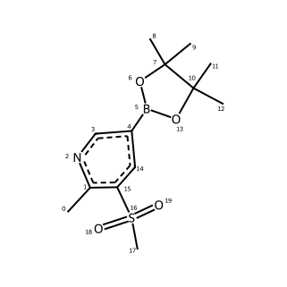 Cc1ncc(B2OC(C)(C)C(C)(C)O2)cc1S(C)(=O)=O